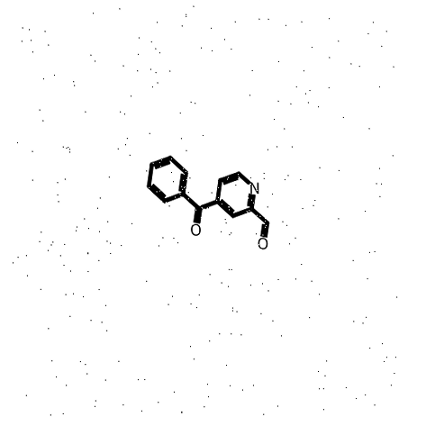 O=Cc1cc(C(=O)c2ccccc2)ccn1